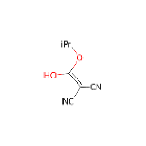 CC(C)OC(O)=C(C#N)C#N